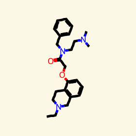 CCN1CCc2c(cccc2OCC(=O)N(CCN(C)C)Cc2ccccc2)C1